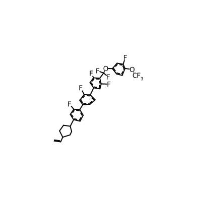 C=CC1CCC(c2ccc(-c3ccc(-c4cc(F)c(C(F)(F)Oc5ccc(OC(F)(F)F)c(F)c5)c(F)c4)c(F)c3)c(F)c2)CC1